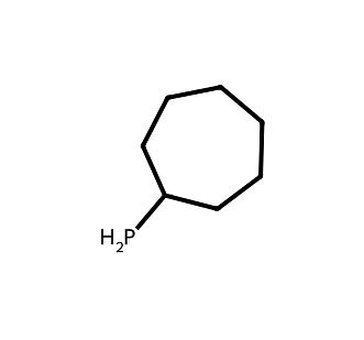 P[C]1CCCCCC1